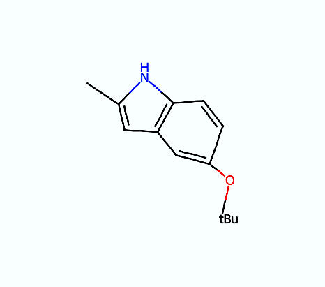 Cc1cc2cc(OC(C)(C)C)ccc2[nH]1